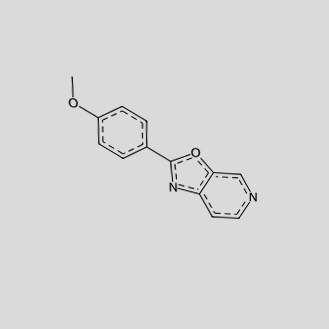 COc1ccc(-c2nc3ccncc3o2)cc1